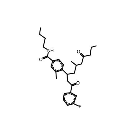 CCCCNC(=O)c1ccc(C(CC(=O)c2cccc(F)c2)CC(C)CC(=O)CCC)c(C)c1